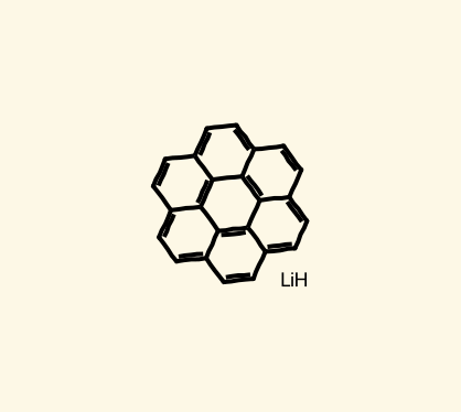 [LiH].c1cc2ccc3ccc4ccc5ccc6ccc1c1c2c3c4c5c61